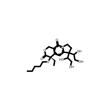 CCCCCO[C@]1(CC)C(=O)OCc2c1cc1n(c2=O)CCC1(C(O)CO)C(O)CO